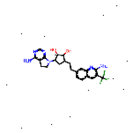 Nc1nc2cc(CCC3CC(N4CCc5c(N)ncnc54)[C@@H](O)C3O)ccc2cc1C(F)(F)F